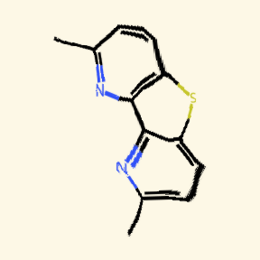 Cc1ccc2sc3ccc(C)nc3c2n1